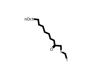 CCCCCCCCCCCCCCCC(=O)CSCI